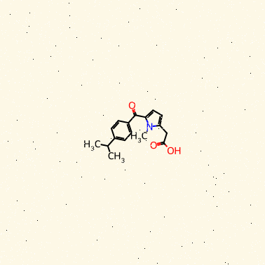 CC(C)c1ccc(C(=O)c2ccc(CC(=O)O)n2C)cc1